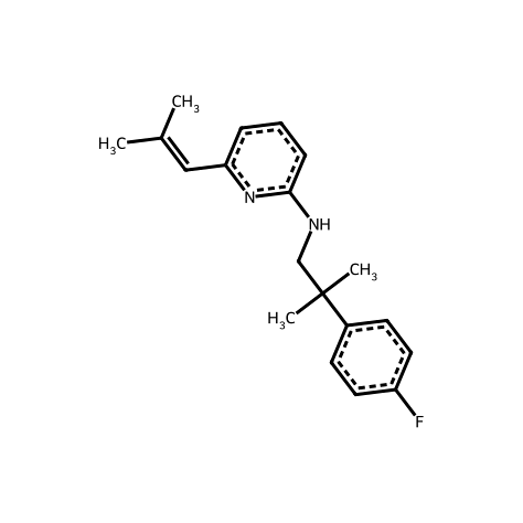 CC(C)=Cc1cccc(NCC(C)(C)c2ccc(F)cc2)n1